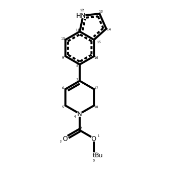 CC(C)(C)OC(=O)N1CC=C(c2ccc3[nH]ccc3c2)CC1